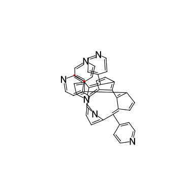 C1=Cc2c(-c3ccncc3)c3ccc4c(-c5ccncc5)c5c6c(c(-c7ccncc7)c7ccc(c(-c8ccncc8)c1c26)n7Cn34)C=C5